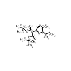 CC[C@@H](C)c1nc(N(C(=O)OC(C)(C)C)C(=O)OC(C)(C)C)ccc1C